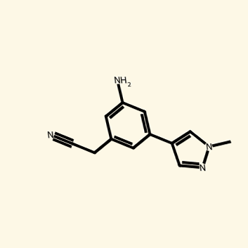 Cn1cc(-c2cc(N)cc(CC#N)c2)cn1